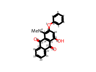 CNc1c(Oc2ccccc2)cc(O)c2c1C(=O)c1ccccc1C2=O